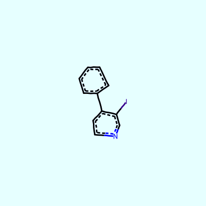 Ic1cnccc1-c1ccccc1